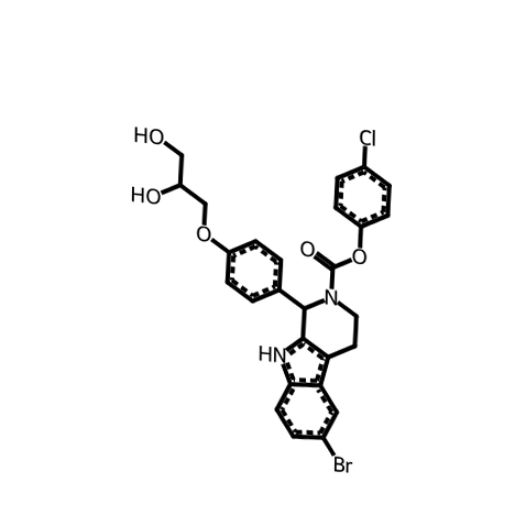 O=C(Oc1ccc(Cl)cc1)N1CCc2c([nH]c3ccc(Br)cc23)C1c1ccc(OCC(O)CO)cc1